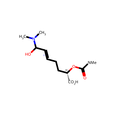 CNC(=O)O[C@@H](CC/C=C/C(O)N(C)C)C(=O)O